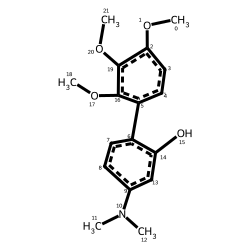 COc1c[c]c(-c2ccc(N(C)C)cc2O)c(OC)c1OC